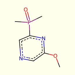 COc1cncc(P(C)(C)=O)n1